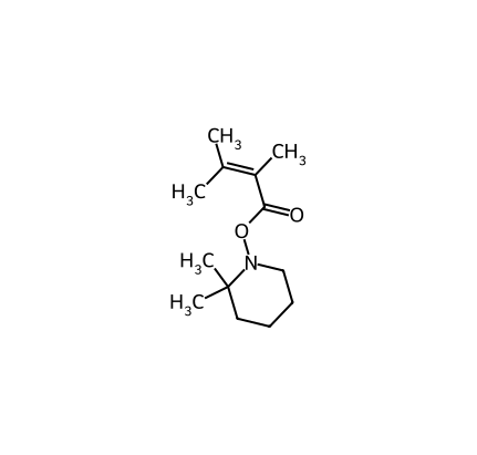 CC(C)=C(C)C(=O)ON1CCCCC1(C)C